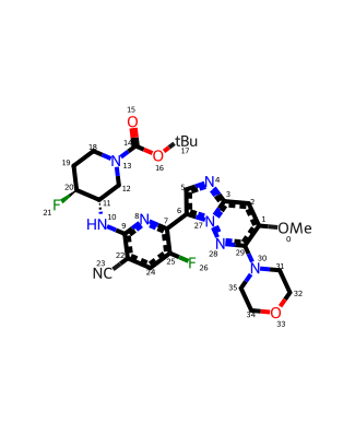 COc1cc2ncc(-c3nc(N[C@H]4CN(C(=O)OC(C)(C)C)CC[C@@H]4F)c(C#N)cc3F)n2nc1N1CCOCC1